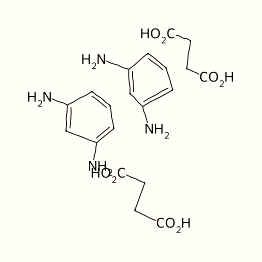 Nc1cccc(N)c1.Nc1cccc(N)c1.O=C(O)CCC(=O)O.O=C(O)CCC(=O)O